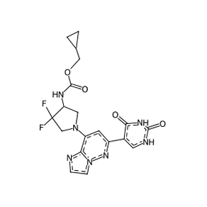 O=C(NC1CN(c2cc(-c3c[nH]c(=O)[nH]c3=O)nn3ccnc23)CC1(F)F)OCC1CC1